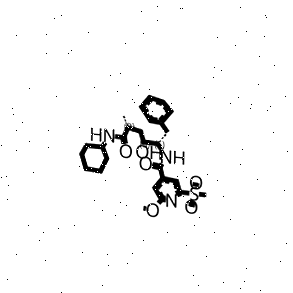 COc1cc(C(=O)N[C@@H](Cc2ccccc2)[C@@H](O)C[C@@H](C)C(=O)NC2CCCCC2)cc(S(C)(=O)=O)n1